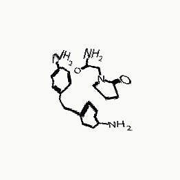 NC(=O)CN1CCCC1=O.Nc1ccc(Cc2ccc(N)cc2)cc1